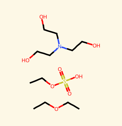 CCOCC.CCOS(=O)(=O)O.OCCN(CCO)CCO